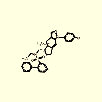 C[C@]12Cc3cnn(-c4ccc(F)cc4)c3C=C1CC[C@@H]2CN(CN)S(=O)(=O)c1ccccc1-c1ccccc1